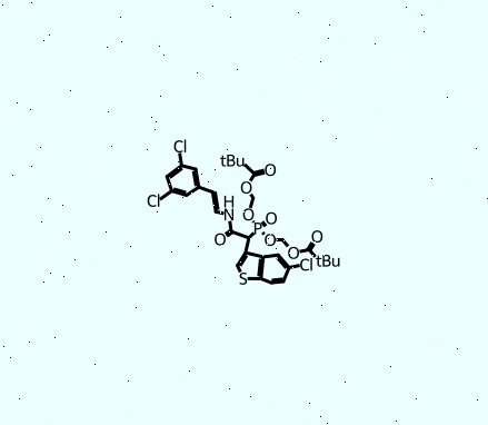 CC(C)(C)C(=O)OCOP(=O)(OCOC(=O)C(C)(C)C)C(C(=O)NC=Cc1cc(Cl)cc(Cl)c1)c1csc2ccc(Cl)cc12